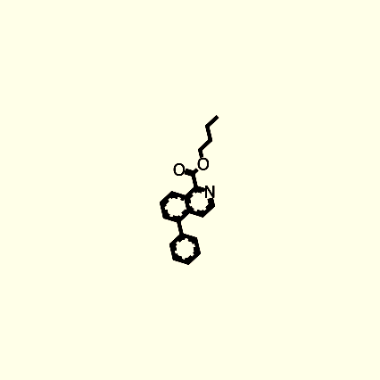 CCCCOC(=O)c1nccc2c(-c3ccccc3)cccc12